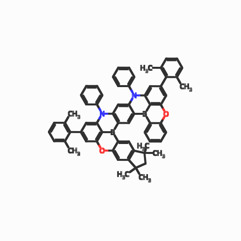 Cc1cccc(C)c1-c1cc2c3c(c1)N(c1ccccc1)c1cc4c(cc1B3c1ccccc1O2)B1c2cc3c(cc2Oc2cc(-c5c(C)cccc5C)cc(c21)N4c1ccccc1)C(C)(C)CC3(C)C